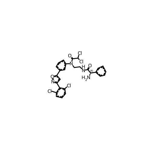 N[C@@H](C(=O)NCCN(C(=O)C(Cl)Cl)c1cccc(-c2cc(-c3c(Cl)cccc3Cl)no2)c1)c1ccccc1